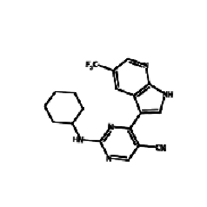 N#Cc1cnc(NC2CCCCC2)nc1-c1c[nH]c2ncc(C(F)(F)F)cc12